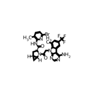 Cc1ccc(Br)nc1NC(=O)[C@@H]1C[C@H]2C[C@H]2N1C(=O)Cn1c2ncnc(N)c2c2cc(C(F)(F)F)cc(C)c21